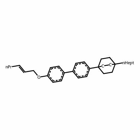 CCCC=CCOc1ccc(-c2ccc(C34CCC(CCCCCCC)(CC3)CC4)cc2)cc1